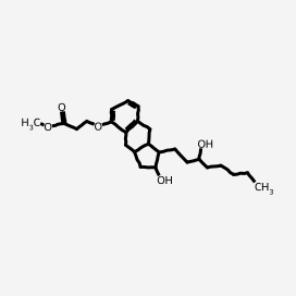 CCCCCC(O)CCC1C(O)CC2Cc3c(cccc3OCCC(=O)OC)CC21